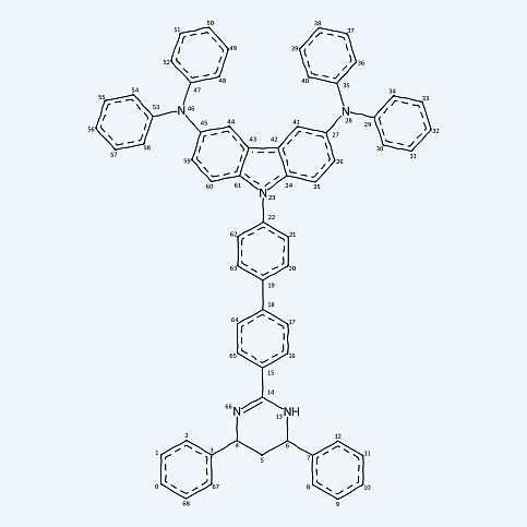 c1ccc(C2CC(c3ccccc3)NC(c3ccc(-c4ccc(-n5c6ccc(N(c7ccccc7)c7ccccc7)cc6c6cc(N(c7ccccc7)c7ccccc7)ccc65)cc4)cc3)=N2)cc1